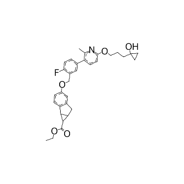 CCOC(=O)C1C2Cc3cc(OCc4cc(-c5ccc(OCCCC6(O)CC6)nc5C)ccc4F)ccc3C21